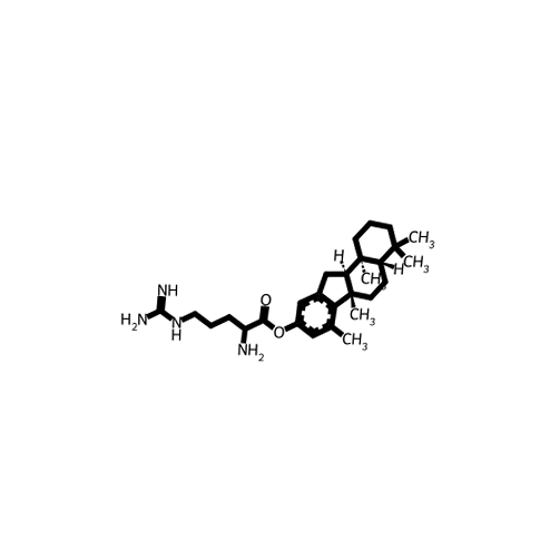 Cc1cc(OC(=O)C(N)CCCNC(=N)N)cc2c1[C@@]1(C)CC[C@H]3C(C)(C)CCC[C@]3(C)[C@@H]1C2